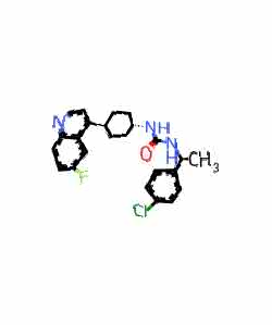 C[C@H](NC(=O)N[C@H]1CC[C@H](c2ccnc3ccc(F)cc32)CC1)c1ccc(Cl)cc1